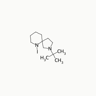 CC(C)(C)N1CCC2(CCCCN2I)C1